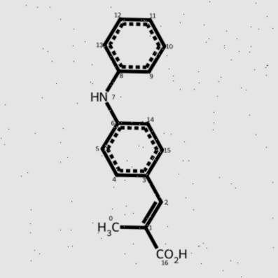 CC(=Cc1ccc(Nc2ccccc2)cc1)C(=O)O